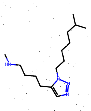 CNCCCCc1cnnn1CCCCCC(C)C